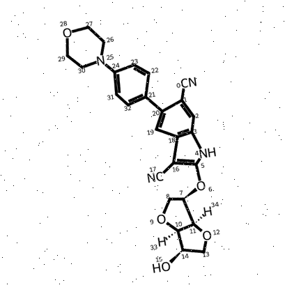 N#Cc1cc2[nH]c(O[C@@H]3CO[C@H]4[C@@H]3OC[C@H]4O)c(C#N)c2cc1-c1ccc(N2CCOCC2)cc1